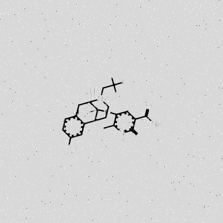 NC(=O)c1cc2c([nH]c1=O)C[C@]13CCN(CC(F)(F)F)[C@H](Cc4ccc(O)cc41)[C@]3(O)C2